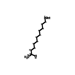 CCCCCCCCCCCCCCCCCCC(C)Cl